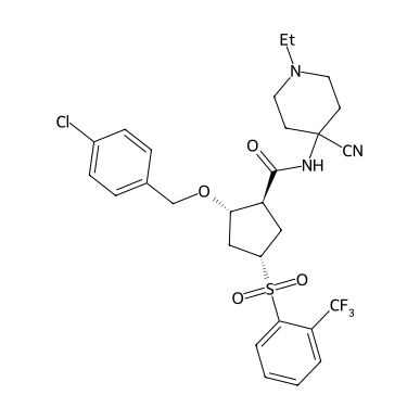 CCN1CCC(C#N)(NC(=O)[C@H]2C[C@H](S(=O)(=O)c3ccccc3C(F)(F)F)C[C@@H]2OCc2ccc(Cl)cc2)CC1